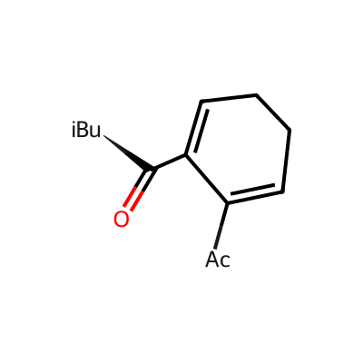 CC[C@H](C)C(=O)C1=CCCC=C1C(C)=O